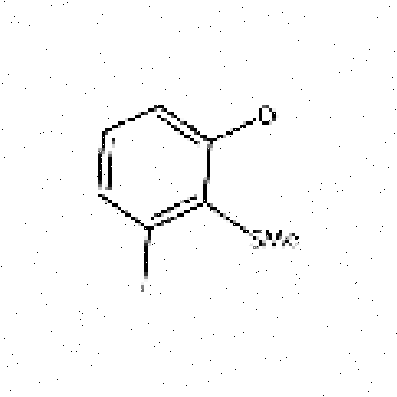 CSc1c(C)cccc1[O]